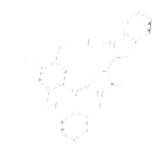 Cc1cc(O)c(C(C)C)cc1N=C1SC(=C2Sc3ccccc3N2C)C(=O)N1Cc1ccccc1